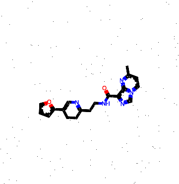 Cc1ccn2cnc(C(=O)NCCC3=NC=C(c4ccco4)CC3)c2n1